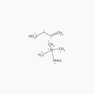 C=CCS(=O)(=O)O.CCCCCC[N+](C)(C)C